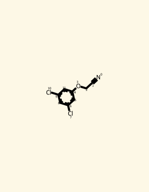 N#CCOc1[c]c(Cl)cc(Cl)c1